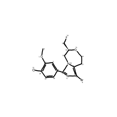 COc1cc(-c2nc(Br)c3n2C[C@@H](CF)OCC3)ccc1Cl